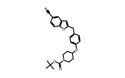 CC(C)(C)OC(=O)N1CCC(Oc2ccc(Cc3cc4cc(C#N)ccc4o3)cc2)CC1